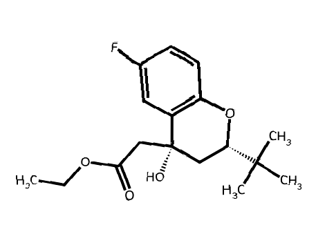 CCOC(=O)C[C@]1(O)C[C@@H](C(C)(C)C)Oc2ccc(F)cc21